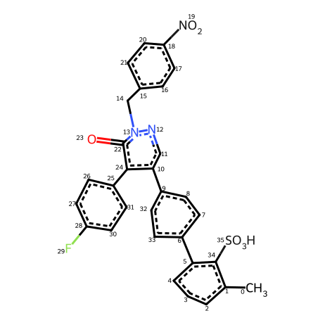 Cc1cccc(-c2ccc(-c3cnn(Cc4ccc([N+](=O)[O-])cc4)c(=O)c3-c3ccc(F)cc3)cc2)c1S(=O)(=O)O